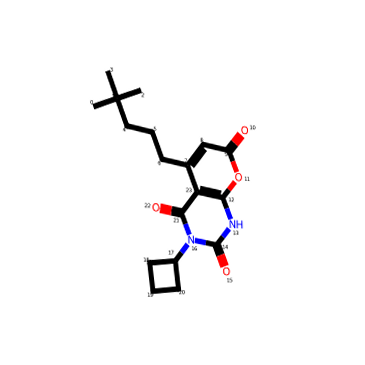 CC(C)(C)CCCc1cc(=O)oc2[nH]c(=O)n(C3CCC3)c(=O)c12